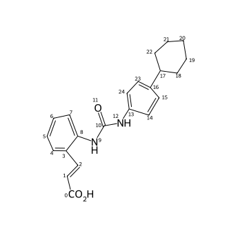 O=C(O)/C=C/c1ccccc1NC(=O)Nc1ccc(C2CCCCC2)cc1